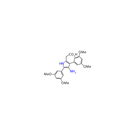 COc1cc(OC)cc(-c2[nH]c(CC(=O)O)c(-c3cc(OC)cc(OC)c3)c2N)c1